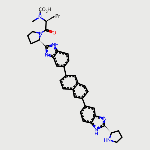 CC(C)[C@@H](C(=O)N1CCC[C@H]1c1nc2cc(-c3ccc4cc(-c5ccc6[nH]c([C@@H]7CCCN7)nc6c5)ccc4c3)ccc2[nH]1)N(C)C(=O)O